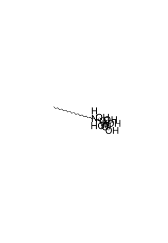 CCCCCCCCCCCCCCCCCCCCNCC(O)CO[C@@H]1[C@@H](O)[C@@H](O)[C@@H](CO)O[C@H]1O